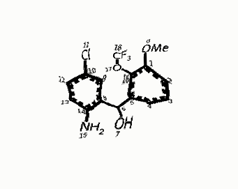 COc1cccc(C(O)c2cc(Cl)ccc2N)c1OC(F)(F)F